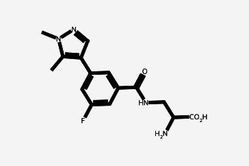 Cc1c(-c2cc(F)cc(C(=O)NCC(N)C(=O)O)c2)cnn1C